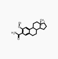 CCOc1cc2c(cc1C(N)=O)CCC1C2CC[C@]2(C)CCCC12